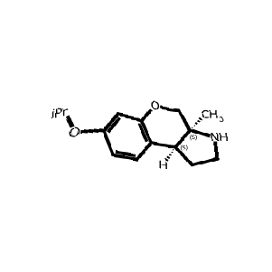 CC(C)Oc1ccc2c(c1)OC[C@@]1(C)NCC[C@@H]21